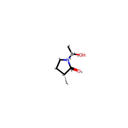 CB(O)N1CC[C@@H](C)C1=O